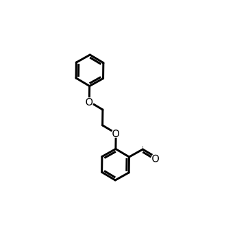 O=[C]c1ccccc1OCCOc1ccccc1